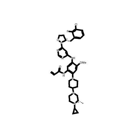 C=CC(=O)Nc1cc(Nc2cc(N3OCC[C@@H]3Cc3cccc(Cl)c3F)ncn2)c(OC)cc1N1CCC(N2CCN(C3CC3)[C@@H](C)C2)CC1